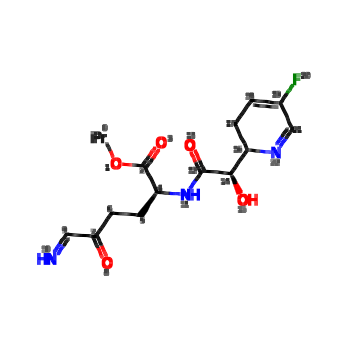 CC(C)OC(=O)[C@H](CCC(=O)C=N)NC(=O)[C@H](O)C1CC=C(F)C=N1